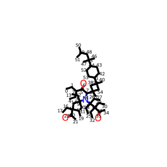 CCC(CC)C(=O)C(N(C(CC)(CC)CC(CC)(CC)C(C)=O)C(CC)(CC)C(CC)(CC)C(C)=O)C1(C)CC(C)(C2CCC(C(C)(C)CC(C)C)CC2)C1